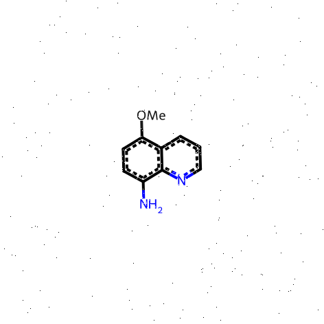 COc1ccc(N)c2ncccc12